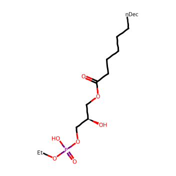 CCCCCCCCCCCCCCCC(=O)OC[C@@H](O)COP(=O)(O)OCC